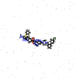 CN(C)CC[C@H](CSc1ccccc1)Nc1ccc(S(=O)(=O)Nc2ncnc3cc(N4CCN(Cc5ccccc5-c5ccc(Cl)cc5)CC4)ncc23)cc1[N+](=O)[O-]